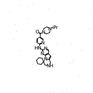 CC(C)N1CCN(C(=O)c2ccc(Nc3ncc4cc5n(c4n3)C3(CCCCC3)CNC5)nc2)CC1